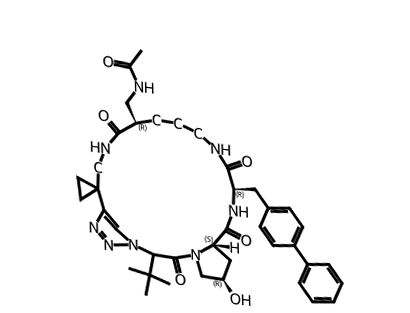 CC(=O)NC[C@H]1CCCNC(=O)[C@@H](Cc2ccc(-c3ccccc3)cc2)NC(=O)[C@@H]2C[C@@H](O)CN2C(=O)C(C(C)(C)C)n2cc(nn2)C2(CC2)CNC1=O